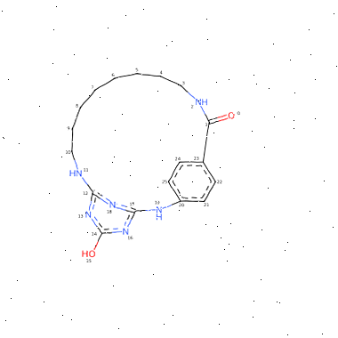 O=C1NCCCCCCCCNc2nc(O)nc(n2)Nc2ccc1cc2